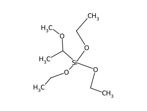 CCO[Si](OCC)(OCC)C(C)OC